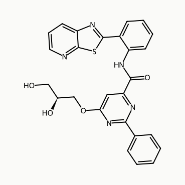 O=C(Nc1ccccc1-c1nc2cccnc2s1)c1cc(OC[C@@H](O)CO)nc(-c2ccccc2)n1